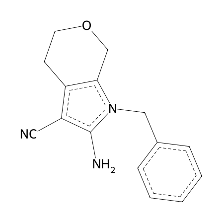 N#Cc1c2c(n(Cc3ccccc3)c1N)COCC2